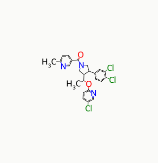 Cc1ccc(C(=O)N2CC(c3ccc(Cl)c(Cl)c3)C(C(C)Oc3ccc(Cl)cn3)C2)cn1